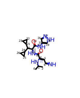 CC(C)N/C(=C\C=N)C(=O)NC(C(=O)Nc1cn[nH]c1)C(C1CC1)C1CC1